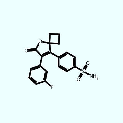 NS(=O)(=O)c1ccc(C2=C(c3cccc(F)c3)C(=O)OC23CCC3)cc1